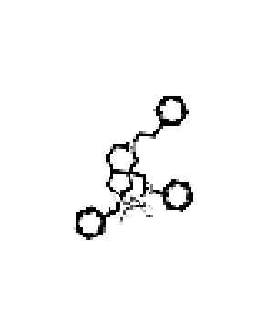 CS(=O)(=O)N(CC12CN(CCc3ccccc3)CCC1CN(Cc1ccccc1)C2)c1ccccc1